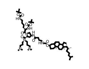 CC(C)CCC[C@@H](C)[C@H]1CCC2C3CC=C4CC(OC(=O)NCCCC(=O)N[C@H]5C[C@@H](C(=O)N(CCCN(C)C)CCCN(C)C)N(C(=O)[C@@H](CCCCNC(=O)OC(C)(C)C)NC(=O)OC(C)(C)C)C5)CC[C@]4(C)C3CC[C@@]21C